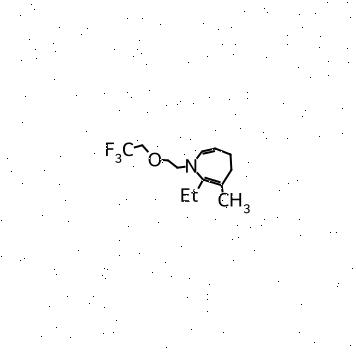 CCC1=C(C)CCC=CN1CCOCC(F)(F)F